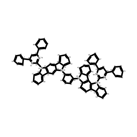 c1ccc(-c2cc(-c3ccccc3)nc(-n3c4ccccc4c4cc5c(cc43)c3ccccc3n5-c3cccc(-n4c5ccccc5c5c4ccc4c6ccccc6n(-c6nc(-c7ccccc7)cc(-c7ccccc7)n6)c45)c3)n2)cc1